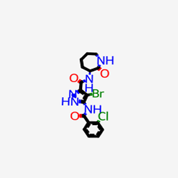 O=C(Nc1[nH]nc(C(=O)N[C@H]2CCCCNC2=O)c1Br)c1ccccc1Cl